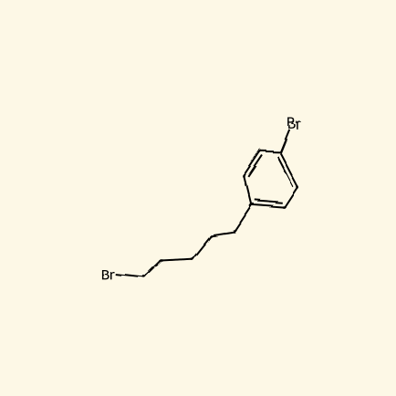 BrCCCCCc1ccc(Br)cc1